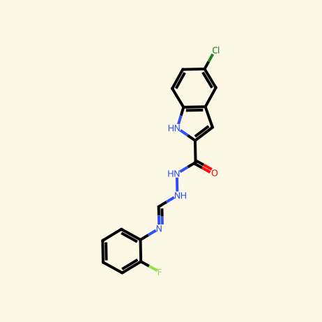 O=C(NNC=Nc1ccccc1F)c1cc2cc(Cl)ccc2[nH]1